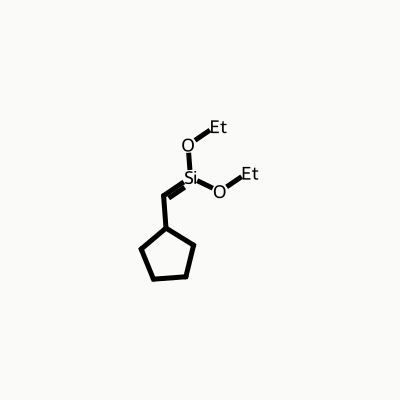 CCO[Si](=CC1CCCC1)OCC